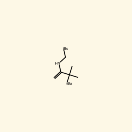 C=C(NCC(C)(C)C)C(C)(C)CCCC